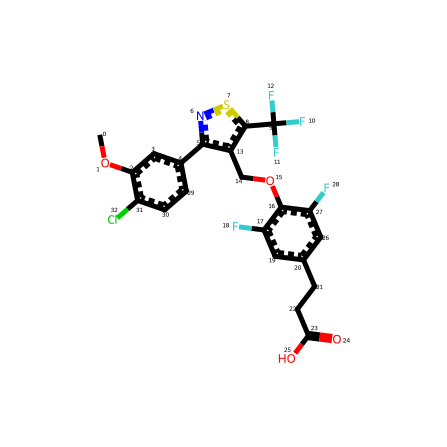 COc1cc(-c2nsc(C(F)(F)F)c2COc2c(F)cc(CCC(=O)O)cc2F)ccc1Cl